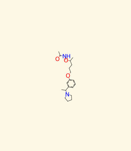 CC(=O)NOC(C)CCCOc1cccc(C(C)N2CCCC2)c1